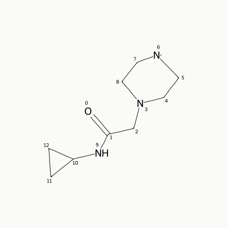 O=C(CN1CC[N]CC1)NC1CC1